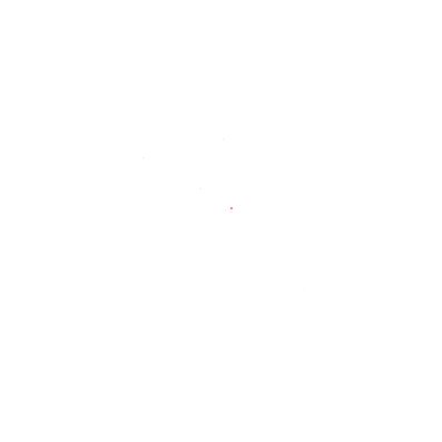 c1ccc2c(c1)-c1ccc(-c3ccc(-c4ccc5c(c4)-c4cccc6cccc(c46)S5)cc3)cc1C21c2ccccc2-c2ccc3ccccc3c21